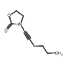 CCCCC#CN1CCOC1=O